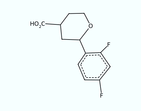 O=C(O)C1CCOC(c2ccc(F)cc2F)C1